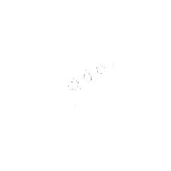 C=C1CC(CC)CC(C)(c2nc(-c3ccc(-c4ccc(Cl)cc4)nc3)nc(C34CC(C)CC(CC(CC)C3)C4)n2)C1